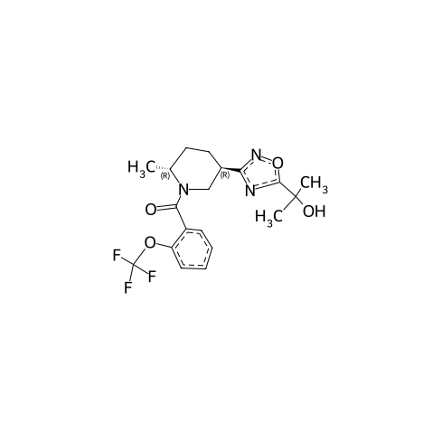 C[C@@H]1CC[C@@H](c2noc(C(C)(C)O)n2)CN1C(=O)c1ccccc1OC(F)(F)F